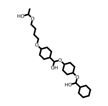 CC(O)OCCCCOC1CCC(C(O)OC2CCC(OC(O)C3CCCCC3)CC2)CC1